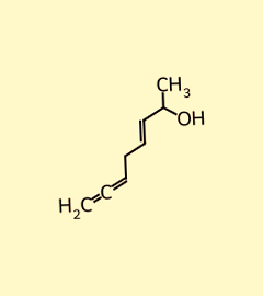 C=C=CCC=CC(C)O